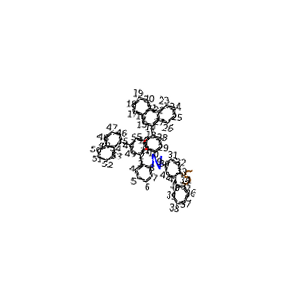 c1cc(-c2ccccc2N(c2ccc(-c3cc4ccccc4c4ccccc34)cc2)c2ccc3sc4ccccc4c3c2)cc(-c2cccc3ccccc23)c1